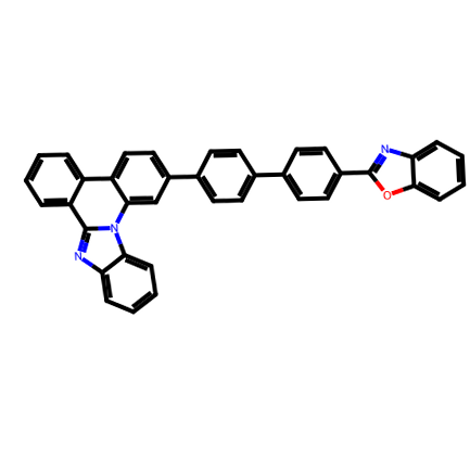 c1ccc2oc(-c3ccc(-c4ccc(-c5ccc6c7ccccc7c7nc8ccccc8n7c6c5)cc4)cc3)nc2c1